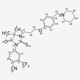 CC1(C)C(=O)N(c2ccc(C#N)c(C(F)(F)F)c2)C(=S)N1CCCOc1ccc(CN2CCCCC2)cc1